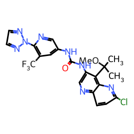 COC(C)(C)c1c(NC(=O)Nc2cnc(-n3nccn3)c(C(F)(F)F)c2)cnc2ccc(Cl)nc12